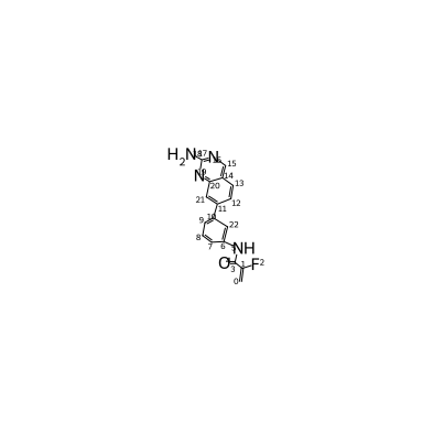 C=C(F)C(=O)Nc1cccc(-c2ccc3cnc(N)nc3c2)c1